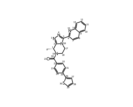 C[C@@H]1c2nnc(-c3ccc4ccccc4n3)n2CCN1C(=O)c1ccc(-c2cccs2)cc1